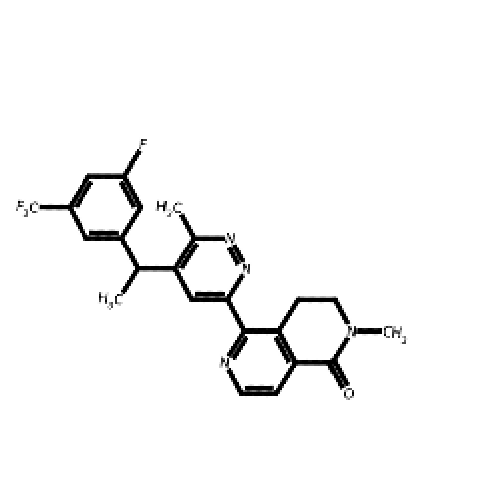 Cc1nnc(-c2nccc3c2CCN(C)C3=O)cc1C(C)c1cc(F)cc(C(F)(F)F)c1